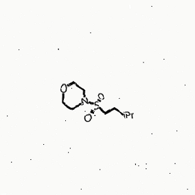 CC(C)CCS(=O)(=O)N1CCOCC1